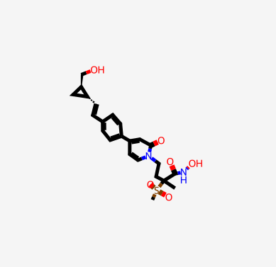 CC(CCn1ccc(-c2ccc(C=C[C@@H]3C[C@H]3CO)cc2)cc1=O)(C(=O)NO)S(C)(=O)=O